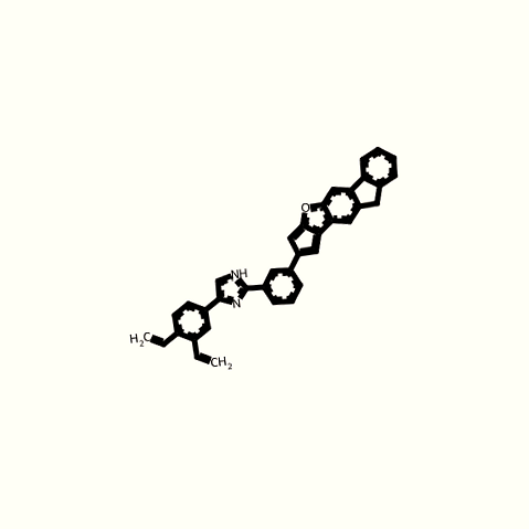 C=Cc1ccc(-c2c[nH]c(-c3cccc(C4=C=c5c(oc6cc7c(cc56)Cc5ccccc5-7)=C4)c3)n2)cc1C=C